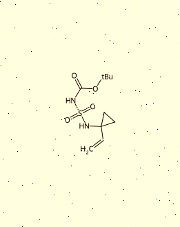 C=CC1(NS(=O)(=O)NC(=O)OC(C)(C)C)CC1